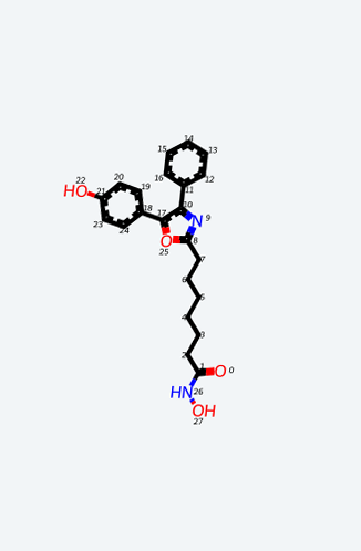 O=C(CCCCCCc1nc(-c2ccccc2)c(-c2ccc(O)cc2)o1)NO